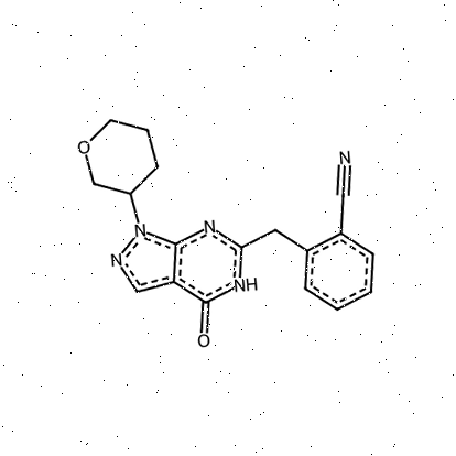 N#Cc1ccccc1Cc1nc2c(cnn2C2CCCOC2)c(=O)[nH]1